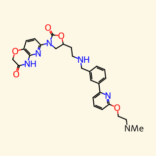 CNCCOc1cccc(-c2cccc(CNCCC3CN(c4ccc5c(n4)NC(=O)CO5)C(=O)O3)c2)n1